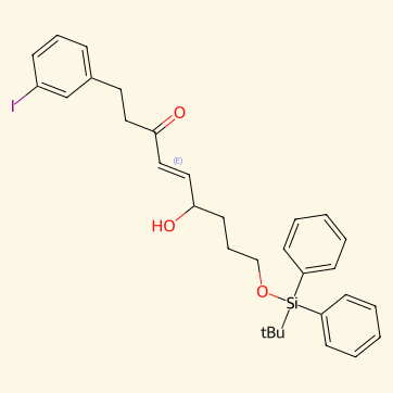 CC(C)(C)[Si](OCCCC(O)/C=C/C(=O)CCc1cccc(I)c1)(c1ccccc1)c1ccccc1